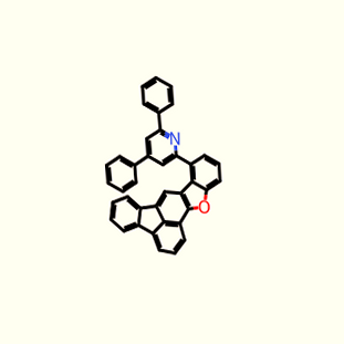 c1ccc(-c2cc(-c3ccccc3)nc(-c3cccc4oc5c6cccc7c6c(cc5c34)-c3ccccc3-7)c2)cc1